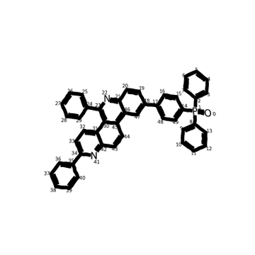 O=P(c1ccccc1)(c1ccccc1)c1ccc(-c2ccc3nc(-c4ccccc4)c4c5ccc(-c6ccccc6)nc5ccc4c3c2)cc1